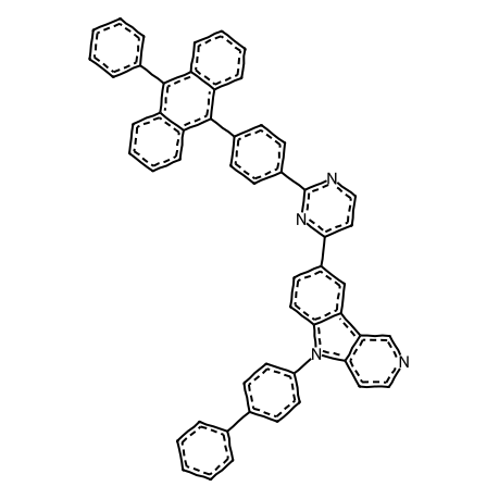 c1ccc(-c2ccc(-n3c4ccncc4c4cc(-c5ccnc(-c6ccc(-c7c8ccccc8c(-c8ccccc8)c8ccccc78)cc6)n5)ccc43)cc2)cc1